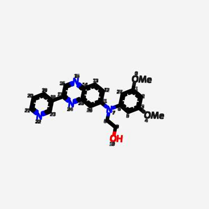 COc1cc(OC)cc(N(CCO)c2ccc3ncc(-c4cccnc4)nc3c2)c1